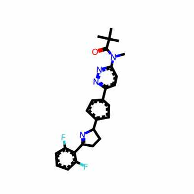 CN(C(=O)C(C)(C)C)c1ccc(-c2ccc(C3CCC(c4c(F)cccc4F)=N3)cc2)nn1